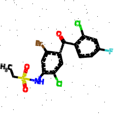 CCS(=O)(=O)Nc1cc(Br)c(C(=O)c2ccc(F)cc2Cl)cc1Cl